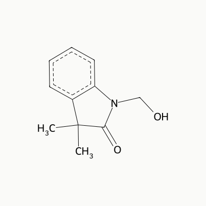 CC1(C)C(=O)N(CO)c2ccccc21